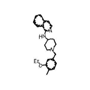 CCOc1cc(CN2CCC(Nc3nccc4ccccc34)CC2)ccc1C